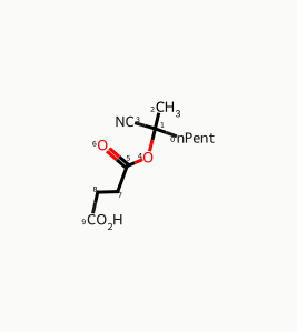 CCCCCC(C)(C#N)OC(=O)CCC(=O)O